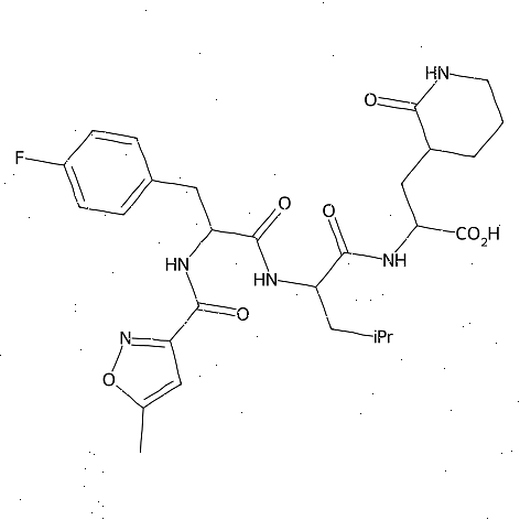 Cc1cc(C(=O)NC(Cc2ccc(F)cc2)C(=O)NC(CC(C)C)C(=O)NC(CC2CCCNC2=O)C(=O)O)no1